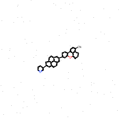 N#Cc1ccc2c3c(cccc13)Oc1cc(-c3cc4ccc5cc(-c6cccnc6)cc6ccc(c3)c4c56)ccc1-2